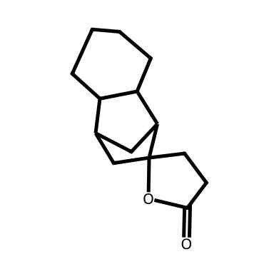 O=C1CCC2(CC3CC2C2CCCCC32)O1